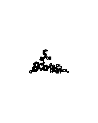 C=CC[C@@H](O)[C@@H](C)S(=O)(=O)NC(=O)c1ccc2c(c1)N(C[C@@H]1CC[C@H]1[C@@H](O)/C=C/CCC)C[C@@]1(CCCc3cc(Cl)ccc31)CO2